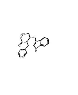 O=C1CNC[C@H](Cc2c[nH]c3ccccc23)N1Cc1ccccc1